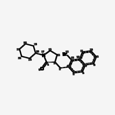 O=C1C(Cc2ccc3ccccc3c2Br)CCN1C1CCCCC1